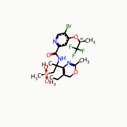 CCC1=C(C(C)(CS(C)(=O)=O)NC(=O)c2cc(O[C@@H](C)C(F)(F)F)c(Br)cn2)N=C(C)OC1